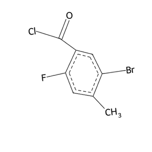 Cc1cc(F)c(C(=O)Cl)cc1Br